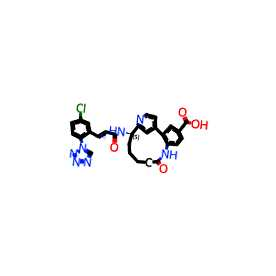 O=C(/C=C/c1cc(Cl)ccc1-n1cnnn1)N[C@H]1CCCCC(=O)Nc2ccc(C(=O)O)cc2-c2ccnc1c2